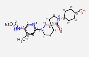 CCOC(=O)Nc1cnc(N2CCC[C@]3(CCN([C@H]4CC[C@H](O)CC4)C3=O)C2)cc1C